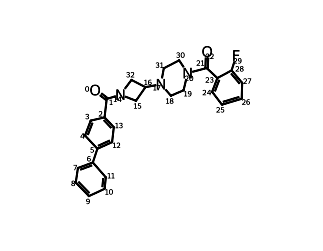 O=C(c1ccc(-c2ccccc2)cc1)N1CC(N2CCN(C(=O)c3ccccc3F)CC2)C1